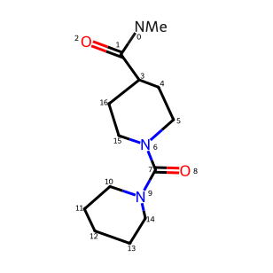 CNC(=O)C1CCN(C(=O)N2CCCCC2)CC1